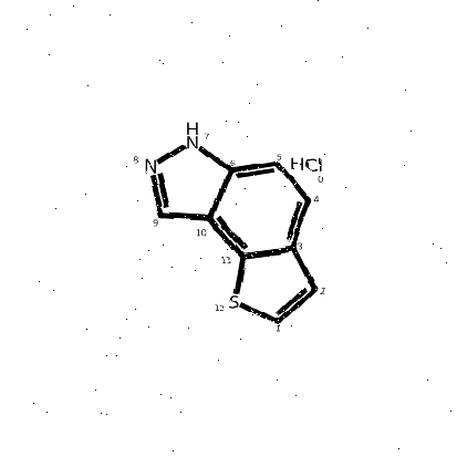 Cl.c1cc2ccc3[nH]ncc3c2s1